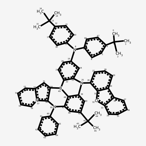 CC(C)(C)c1ccc(N(c2ccc(C(C)(C)C)cc2)c2ccc3c(c2)N(c2cccc4c2oc2ccccc24)c2cc(C(C)(C)C)cc4c2B3c2cc3ccccn3c2N4c2ccccc2)cc1